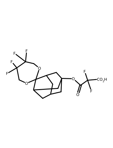 O=C(O)C(F)(F)C(=O)OC12CC3CC(C1)C1(OCC(F)(F)C(F)(F)CO1)C(C3)C2